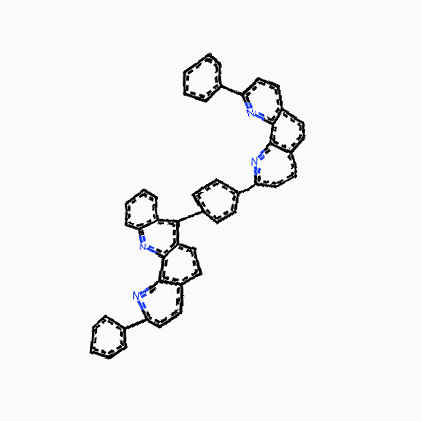 c1ccc(-c2ccc3ccc4ccc(-c5ccc(-c6c7ccccc7nc7c6ccc6ccc(-c8ccccc8)nc67)cc5)nc4c3n2)cc1